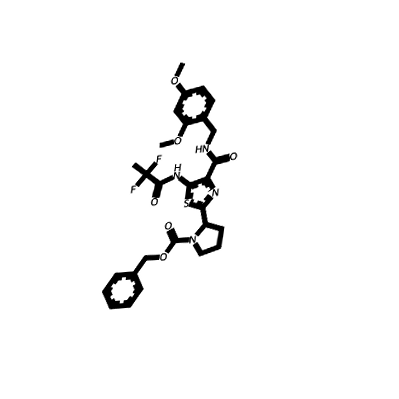 COc1ccc(CNC(=O)c2nc(C3CCCN3C(=O)OCc3ccccc3)sc2NC(=O)C(C)(F)F)c(OC)c1